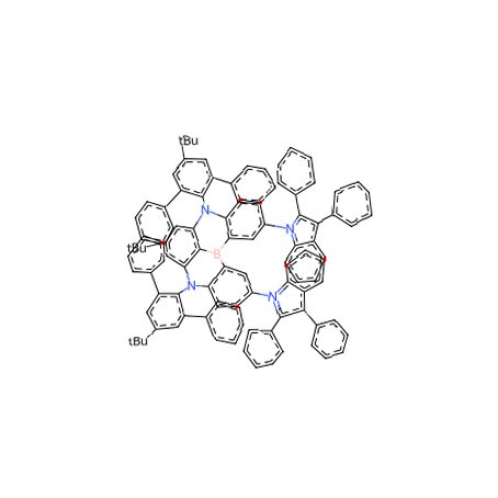 CC(C)(C)c1cc(-c2ccccc2)c(N2c3ccc(-n4c(-c5ccccc5)c(-c5ccccc5)c5ccccc54)cc3B3c4cc(-n5c(-c6ccccc6)c(-c6ccccc6)c6ccccc65)ccc4N(c4c(-c5ccccc5)cc(C(C)(C)C)cc4-c4ccccc4)c4cc(C(C)(C)C)cc2c43)c(-c2ccccc2)c1